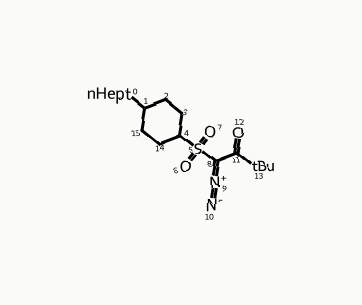 CCCCCCCC1CCC(S(=O)(=O)C(=[N+]=[N-])C(=O)C(C)(C)C)CC1